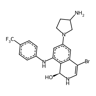 NC1CCN(c2cc(Nc3ccc(C(F)(F)F)cc3)c3c(c2)C(Br)=CN[C@H]3O)C1